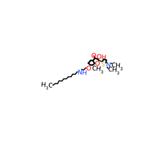 CCCCCCCCCCCCCNCCCOc1ccc2c(=O)c(O)c(-c3ccc(N(CC)CC)s3)oc2c1C